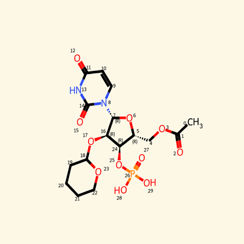 CC(=O)OC[C@H]1O[C@@H](n2ccc(=O)[nH]c2=O)[C@H](OC2CCCCO2)[C@@H]1OP(=O)(O)O